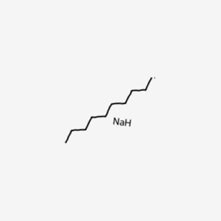 [CH2]CCCCCCCCC.[NaH]